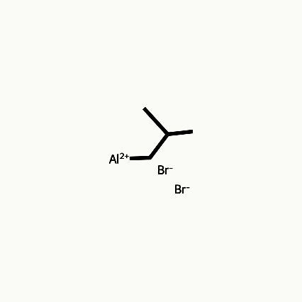 CC(C)[CH2][Al+2].[Br-].[Br-]